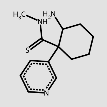 CNC(=S)C1(c2cccnc2)CCCCC1N